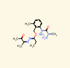 CCC(=NN=C(C)C(C)=O)OCc1c(C)cccc1N(N)C(=O)N(C)N